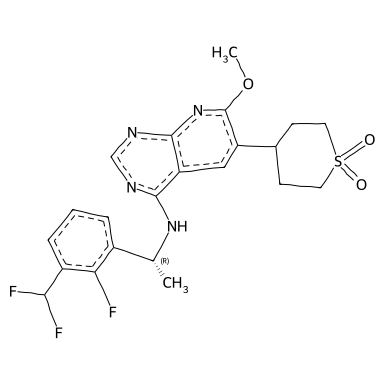 COc1nc2ncnc(N[C@H](C)c3cccc(C(F)F)c3F)c2cc1C1CCS(=O)(=O)CC1